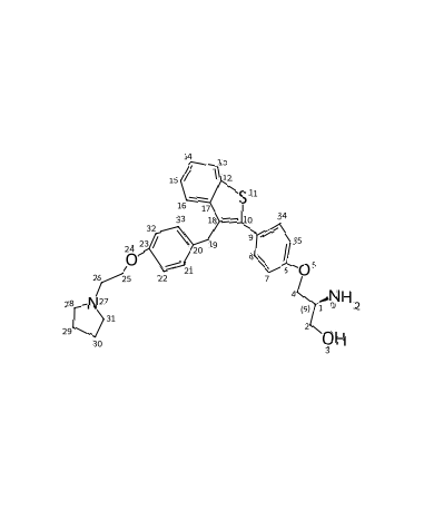 N[C@@H](CO)COc1ccc(-c2sc3ccccc3c2Cc2ccc(OCCN3CCCC3)cc2)cc1